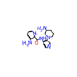 Nc1cccnc1C(=O)Nc1ccncc1N1CCCC(N)C1